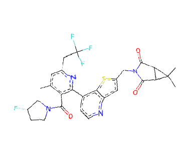 Cc1cc(CC(F)(F)F)nc(-c2ccnc3cc(CN4C(=O)C5C(C4=O)C5(C)C)sc23)c1C(=O)N1CC[C@H](F)C1